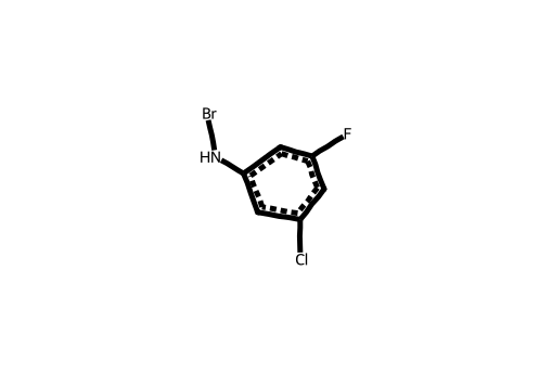 Fc1cc(Cl)cc(NBr)c1